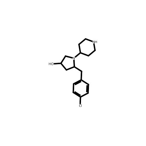 OC1CC(Cc2ccc(Cl)cc2)N(C2CCNCC2)C1